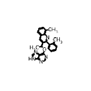 Cc1ccccc1-c1nc2c(C)cccc2cc1C(C)Oc1ncnc2[nH]cnc12